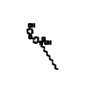 CCCCCCCCCCCCN(C(=O)O)c1ccc(Oc2ccc(O)cc2)cc1